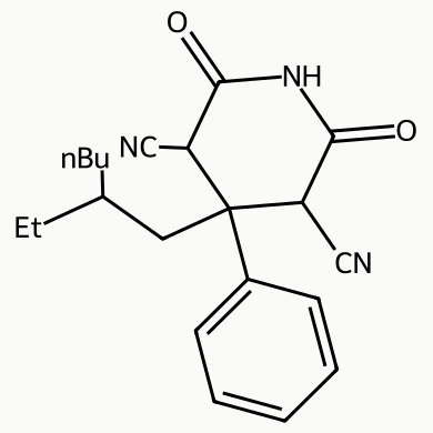 CCCCC(CC)CC1(c2ccccc2)C(C#N)C(=O)NC(=O)C1C#N